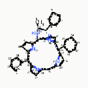 C[C@@H](Cc1ccccc1)Nc1c2nc(c(-c3ccccc3)c3ccc(cc4nc(c(-c5ccccc5)c5ccc1[nH]5)C=C4)[nH]3)C=C2